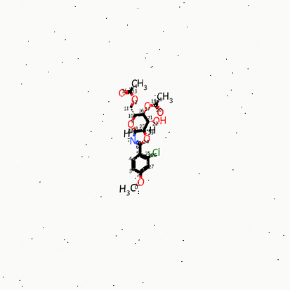 COc1ccc(C2=N[C@H]3O[C@H](COC(C)=O)[C@@H](OC(C)=O)[C@H](O)[C@H]3O2)c(Cl)c1